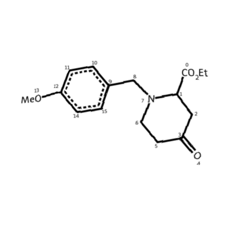 CCOC(=O)C1CC(=O)CCN1Cc1ccc(OC)cc1